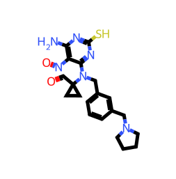 Nc1nc(S)nc(N(Cc2cccc(CN3CCCC3)c2)C2(C=O)CC2)c1N=O